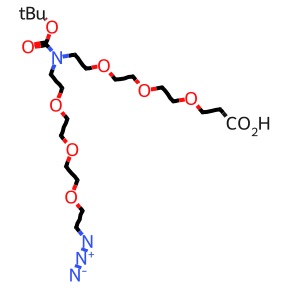 CC(C)(C)OC(=O)N(CCOCCOCCOCCN=[N+]=[N-])CCOCCOCCOCCC(=O)O